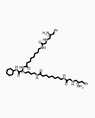 CC(C)C[C@H](N)CNCC(=O)NCCCCCCCC(=O)NCCCC[C@H](NC(=O)CCCCCCCNC(=O)CNC[C@@H](N)CC(C)C)C(=O)NC1CCCCC1